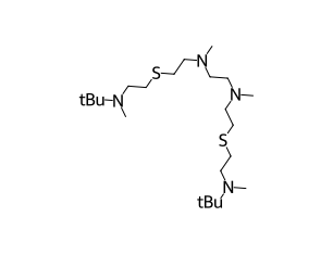 CN(CCSCCN(C)C(C)(C)C)CCN(C)CCSCCN(C)C(C)(C)C